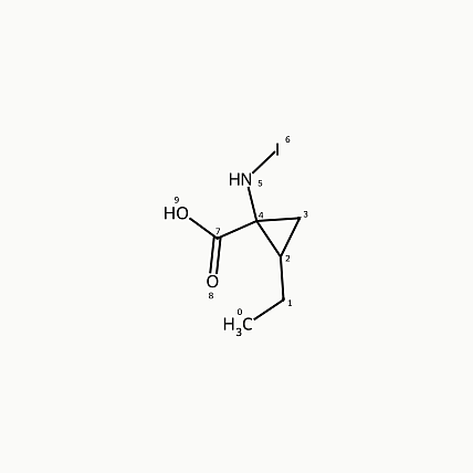 CCC1CC1(NI)C(=O)O